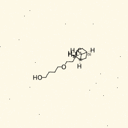 CC1(C)[C@H]2CC[C@@H](CCOCCCCO)[C@@H]1C2